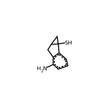 Nc1cccc2c1CC1CC21S